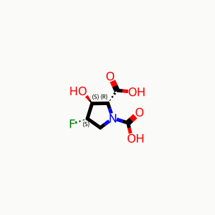 O=C(O)[C@H]1[C@H](O)[C@@H](F)CN1C(=O)O